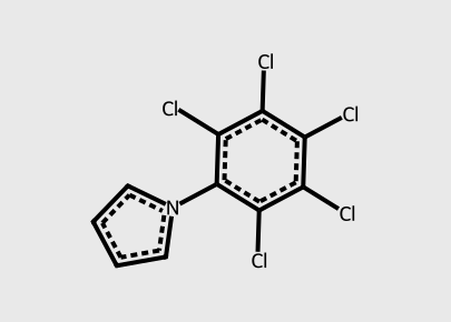 Clc1c(Cl)c(Cl)c(-n2cccc2)c(Cl)c1Cl